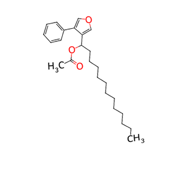 CCCCCCCCCCCCC(OC(C)=O)c1cocc1-c1ccccc1